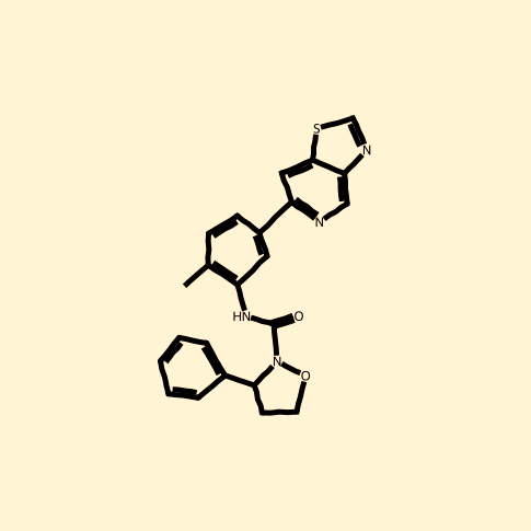 Cc1ccc(-c2cc3scnc3cn2)cc1NC(=O)N1OCCC1c1ccccc1